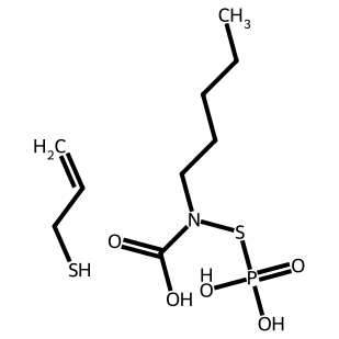 C=CCS.CCCCCN(SP(=O)(O)O)C(=O)O